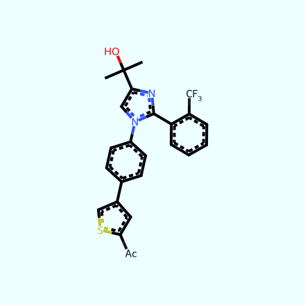 CC(=O)c1cc(-c2ccc(-n3cc(C(C)(C)O)nc3-c3ccccc3C(F)(F)F)cc2)cs1